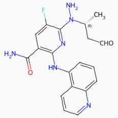 C[C@H](CC=O)N(N)c1nc(Nc2cccc3ncccc23)c(C(N)=O)cc1F